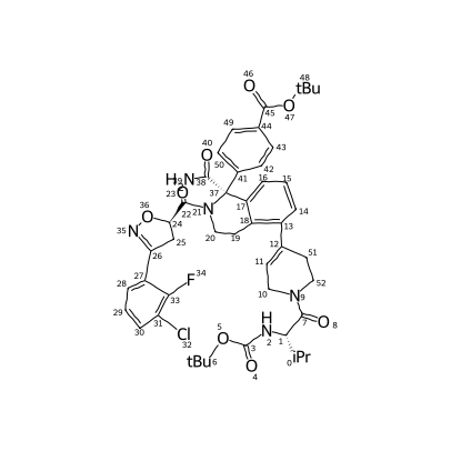 CC(C)[C@H](NC(=O)OC(C)(C)C)C(=O)N1CC=C(c2cccc3c2CCN(C(=O)[C@H]2CC(c4cccc(Cl)c4F)=NO2)[C@@]3(C(N)=O)c2ccc(C(=O)OC(C)(C)C)cc2)CC1